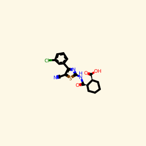 N#Cc1sc(NC(=O)[C@@H]2CCCC[C@@H]2C(=O)O)nc1-c1cccc(Cl)c1